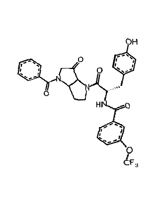 O=C(N[C@@H](Cc1ccc(O)cc1)C(=O)N1CCC2C1C(=O)CN2C(=O)c1ccccc1)c1cccc(OC(F)(F)F)c1